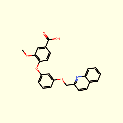 COc1cc(C(=O)O)ccc1Oc1cccc(OCc2ccc3ccccc3n2)c1